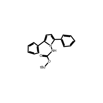 CC(C)(C)OC(=O)Nn1c(-c2ccccc2)ccc1-c1ccccc1